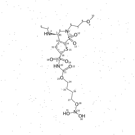 CCN[C@H]1CN(CCCOC)S(=O)(=O)c2sc(S(=O)(=O)NC(=O)OCCCCON(O)O)cc21